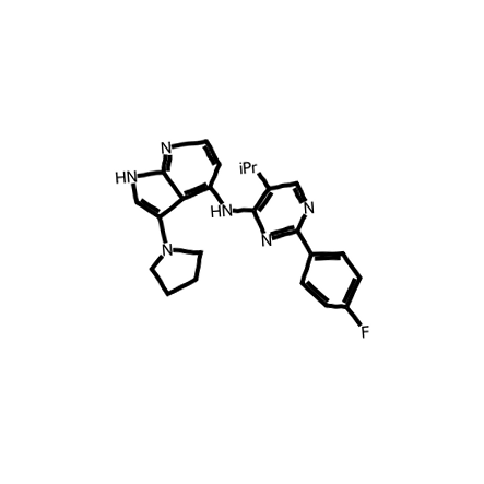 CC(C)c1cnc(-c2ccc(F)cc2)nc1Nc1ccnc2[nH]cc(N3CCCC3)c12